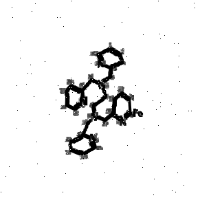 [Fe].c1ccc(CN(CCN(Cc2ccccn2)Cc2ccccn2)Cc2ccccn2)nc1